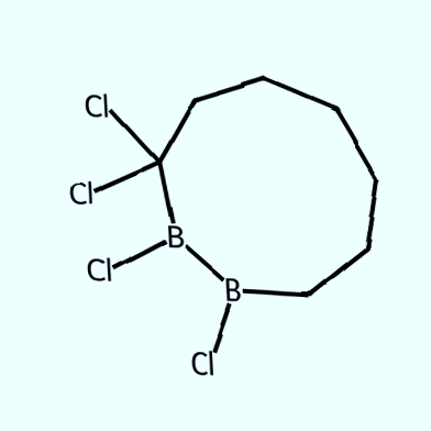 ClB1CCCCCCC(Cl)(Cl)B1Cl